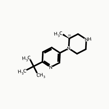 C[C@H]1CNCCN1c1ccc(C(C)(C)C)nc1